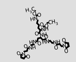 CCOC(=O)NCCCCC(NC(=O)OCC)C(=O)NC(CC(=O)NCCNC(=O)CCN1C(=O)C=CC1=O)CC(=O)NCCNC(=O)CCN1C(=O)C=CC1=O